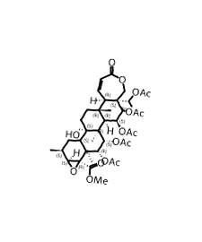 COC(=O)[C@]12O[C@H]1[C@@H](C)C[C@]1(O)[C@@]3(C)CC[C@]4(C)[C@H]5C=CC(=O)OC[C@@]5(C(C)OC(C)=O)[C@@H](OC(C)=O)[C@@H](OC(C)=O)[C@H]4[C@@]3(C)[C@H](OC(C)=O)[C@H](OC(C)=O)[C@]12C